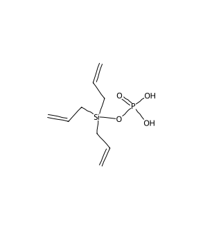 C=CC[Si](CC=C)(CC=C)OP(=O)(O)O